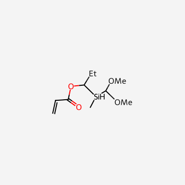 C=CC(=O)OC(CC)[SiH](C)C(OC)OC